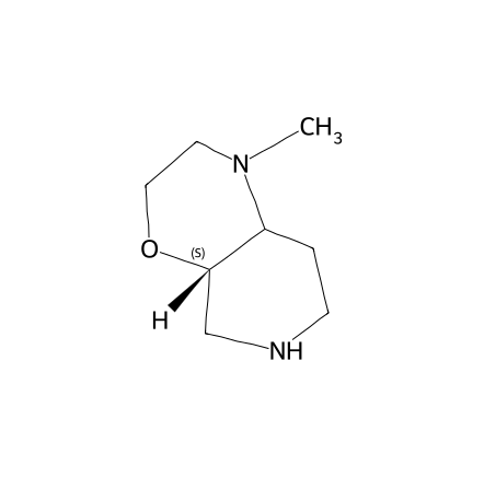 CN1CCO[C@H]2CNCCC21